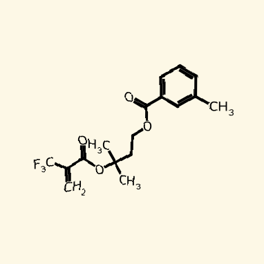 C=C(C(=O)OC(C)(C)CCOC(=O)c1cccc(C)c1)C(F)(F)F